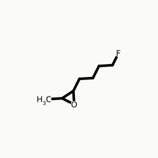 CC1OC1CCCCF